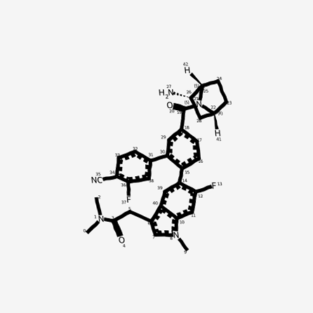 CN(C)C(=O)Cc1cn(C)c2cc(F)c(-c3ccc(C(=O)N4[C@@H]5CC[C@H]4[C@@H](N)C5)cc3-c3ccc(C#N)c(F)c3)cc12